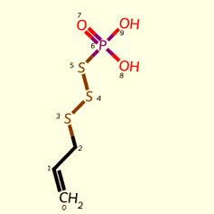 C=CCSSSP(=O)(O)O